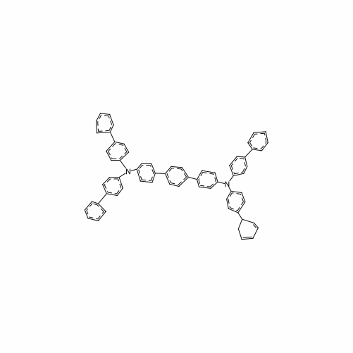 C1=CCC(c2ccc(N(c3ccc(-c4ccccc4)cc3)c3ccc(-c4ccc(-c5ccc(N(c6ccc(-c7ccccc7)cc6)c6ccc(-c7ccccc7)cc6)cc5)cc4)cc3)cc2)C=C1